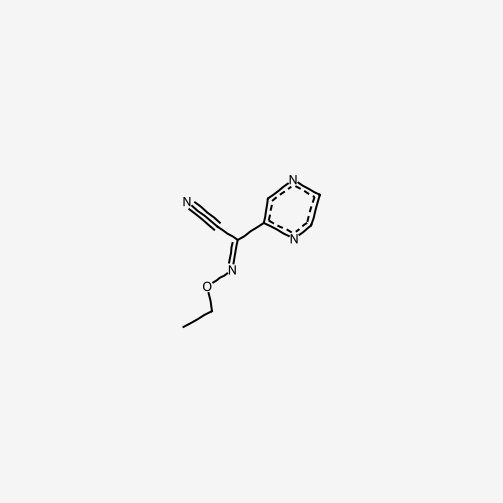 CCON=C(C#N)c1cnccn1